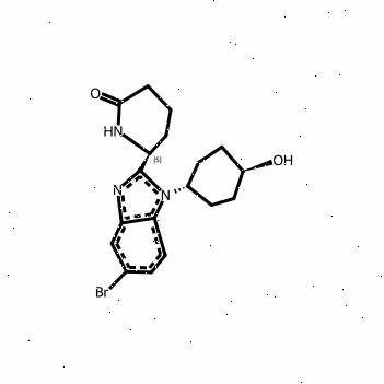 O=C1CCC[C@@H](c2nc3cc(Br)ccc3n2[C@H]2CC[C@H](O)CC2)N1